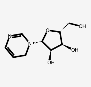 OC[C@H]1O[C@@H](N2C=NC=CC2)[C@H](O)[C@@H]1O